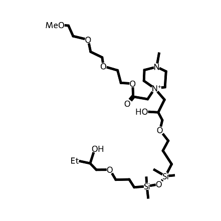 CCC(O)COCCC[Si](C)(C)O[Si](C)(C)CCCOCC(O)C[N+]1(CC(=O)OCCOCCOCCOC)CCN(C)CC1